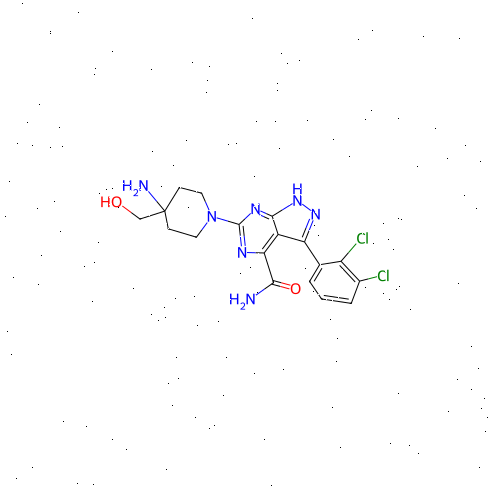 NC(=O)c1nc(N2CCC(N)(CO)CC2)nc2[nH]nc(-c3cccc(Cl)c3Cl)c12